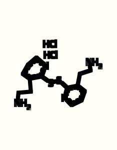 Cl.Cl.NCCc1cccnc1SSc1ncccc1CCN